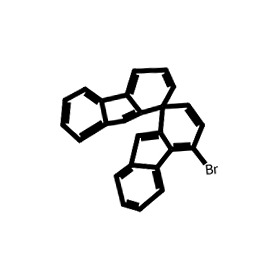 BrC1=C2C(=Cc3ccccc32)C2(C=CC=C3C2=Cc2ccccc23)C=C1